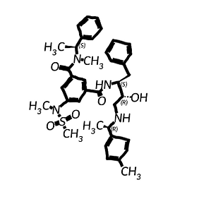 Cc1ccc([C@@H](C)NC[C@@H](O)[C@H](Cc2ccccc2)NC(=O)c2cc(C(=O)N(C)[C@@H](C)c3ccccc3)cc(N(C)S(C)(=O)=O)c2)cc1